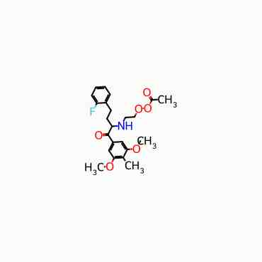 COc1cc(C(=O)C(CCc2ccccc2F)NCCOOC(C)=O)cc(OC)c1C